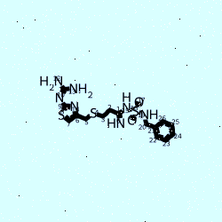 N=C(CCSCc1csc(N=C(N)N)n1)NS(=O)(=O)NCc1ccccc1